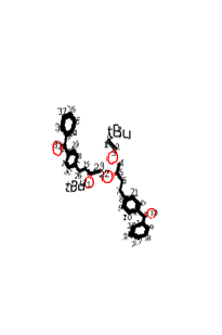 CC(C)(C)CCOCC(CCc1ccc(C(=O)c2ccccc2)cc1)OCC(CCc1ccc(C(=O)c2ccccc2)cc1)OC(C)(C)C